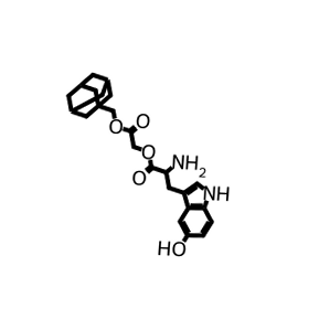 NC(Cc1c[nH]c2ccc(O)cc12)C(=O)OCC(=O)OCC12CC3CC(CC(C3)C1)C2